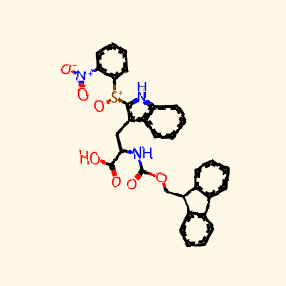 O=C(NC(Cc1c([S+]([O-])c2ccccc2[N+](=O)[O-])[nH]c2ccccc12)C(=O)O)OCC1c2ccccc2-c2ccccc21